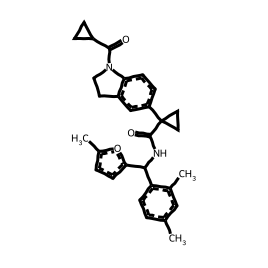 Cc1ccc(C(NC(=O)C2(c3ccc4c(c3)CCN4C(=O)C3CC3)CC2)c2ccc(C)o2)c(C)c1